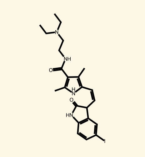 CCN(CC)CCNC(=O)c1c(C)[nH]c(/C=C\C2C(=O)Nc3ccc(I)cc32)c1C